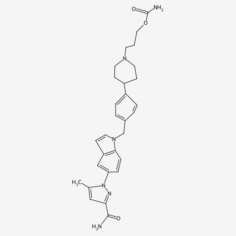 Cc1cc(C(N)=O)nn1-c1ccc2c(ccn2Cc2ccc(C3CCN(CCCOC(N)=O)CC3)cc2)c1